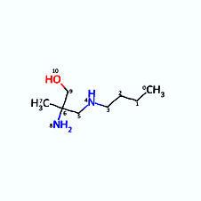 CCCCNCC(C)(N)CO